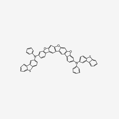 c1ccc(N(c2ccc3c(c2)oc2cc4oc5cc6oc7cc(N(c8ccccc8)c8ccc9sc%10ccccc%10c9c8)ccc7c6cc5c4cc23)c2ccc3sc4ccccc4c3c2)cc1